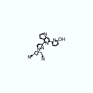 N#CC[C@]1(n2ccc(-c3nc(-c4cccc(O)n4)cc4ncccc34)n2)C[C@H](C#N)C1